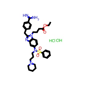 CCOC(=O)CCCn1c(Cc2ccc(C(=N)N)cc2)nc2cc(N(CCCN3CCCCC3)S(=O)(=O)c3ccccc3)ccc21.Cl.Cl